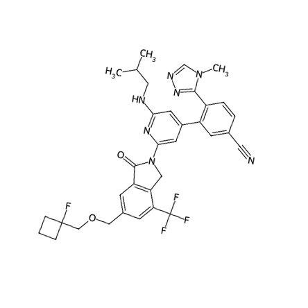 CC(C)CNc1cc(-c2cc(C#N)ccc2-c2nncn2C)cc(N2Cc3c(cc(COCC4(F)CCC4)cc3C(F)(F)F)C2=O)n1